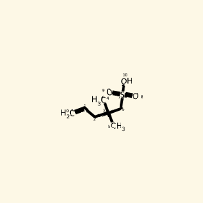 C=CCC(C)(C)CS(=O)(=O)O